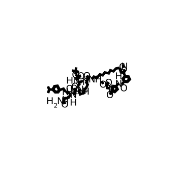 COC(=O)Cn1cc(NC(=O)c2cccc(-c3cncc(CCCCCCCCCNC(=O)N4CC[C@H]5CC[C@@H](C(=O)NC(CCC(N)=O)C(=O)NCc6ccc(C(C)C)cc6)N5C(=O)[C@@H](NC(=O)OC(C)(C)C)C4)c3)c2)ccc1=O